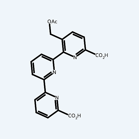 CC(=O)OCc1ccc(C(=O)O)nc1-c1cccc(-c2cccc(C(=O)O)n2)n1